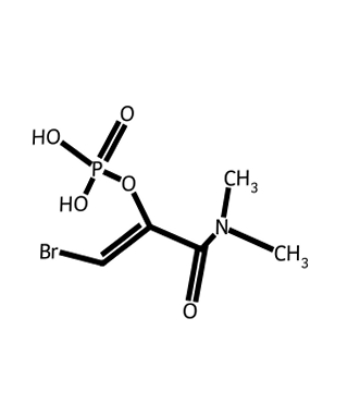 CN(C)C(=O)C(=CBr)OP(=O)(O)O